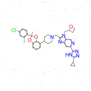 CC1(c2ccc(Cl)cc2F)Oc2cccc(C3CCN(Cc4nc5cc(-c6nnc(C7CC7)[nH]6)ncc5n4CC4CCO4)CC3)c2O1